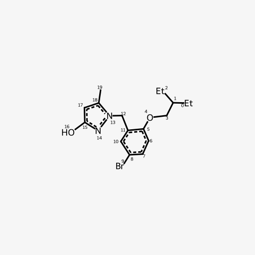 CCC(CC)COc1ccc(Br)cc1Cn1nc(O)cc1C